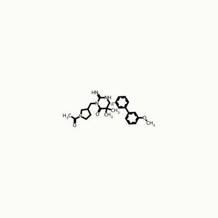 COc1cccc(-c2cccc([C@H]3NC(=N)N(CC4CCN(C(C)=O)C4)C(=O)C3(C)C)c2)c1